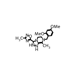 COc1ccc(CN2CCN3C(=C2C)NNC3c2nc(C)no2)c(OC)c1